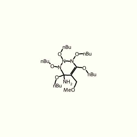 CCCCOC1=C(COC)C(N)(OCCCC)N(OCCCC)N(OCCCC)N1OCCCC